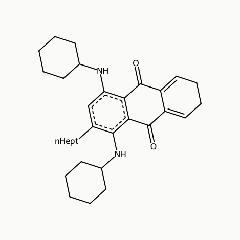 CCCCCCCc1cc(NC2CCCCC2)c2c(c1NC1CCCCC1)C(=O)C1=CCCC=C1C2=O